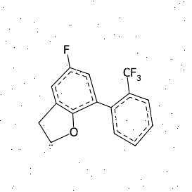 Fc1cc2c(c(-c3ccccc3C(F)(F)F)c1)O[C]C2